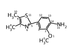 COc1cc(-c2nc(C)c(C)s2)ccc1N